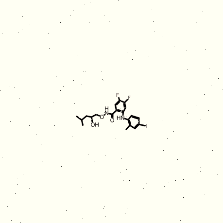 Cc1cc(I)ccc1Nc1cc(F)c(F)cc1C(=O)NOCC(O)CC(C)C